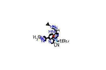 [2H]C(Nc1cc(-c2cnn(C)c2)c2ncc(C#N)c(NCC(C)(C)C)c2c1)(c1ccc(F)cc1)c1cn(C2CC2)nn1